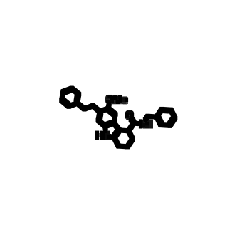 COc1cc2c3c([nH]c2cc1CCc1ccccc1)CCCC3C(=O)NCc1ccccc1